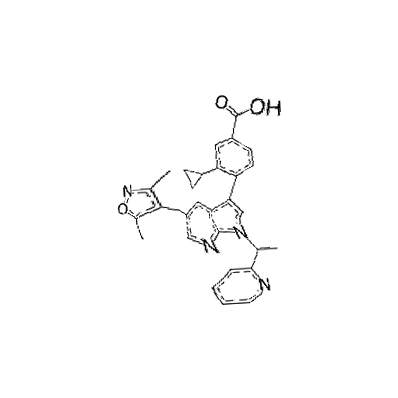 Cc1noc(C)c1-c1cnc2c(c1)c(-c1ccc(C(=O)O)cc1C1CC1)cn2C(C)c1ccccn1